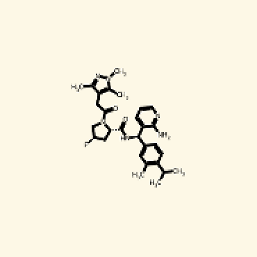 Cc1cc([C@@H](NC(=O)[C@@H]2C[C@@H](F)CN2C(=O)Cc2c(C)nn(C)c2C)c2cccnc2N)ccc1C(C)C